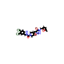 Cc1ccc(CNC(=O)C2=NOC3(CCN(C(=O)NCc4ccc(Cl)c(Cl)c4)CC3)C2)o1